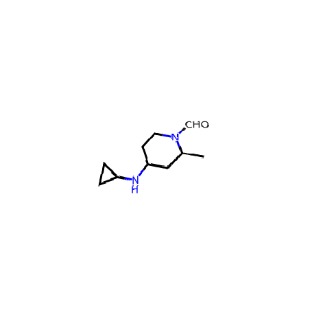 CC1CC(NC2CC2)CCN1C=O